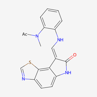 CC(=O)N(C)c1ccccc1NC=C1C(=O)Nc2ccc3ncsc3c21